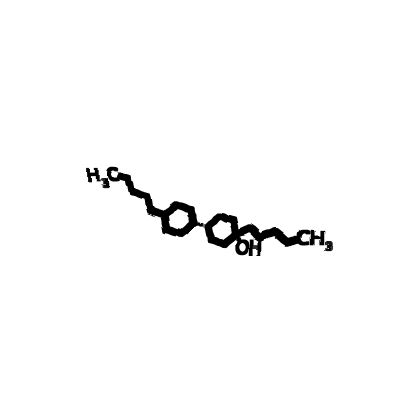 CCCCCC1CCC([C@H]2CC[C@](O)(CCCCC)CC2)CC1